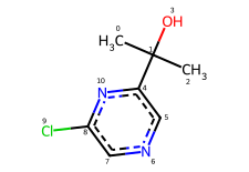 CC(C)(O)c1cncc(Cl)n1